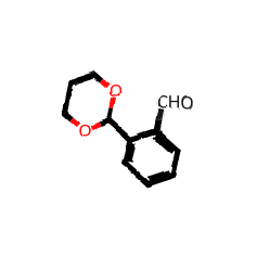 O=Cc1ccccc1C1OCCCO1